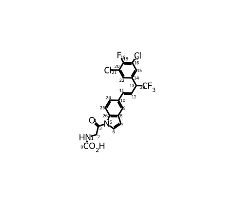 O=C(O)NCC(=O)n1ccc2cc(C=CC(c3cc(Cl)c(F)c(Cl)c3)C(F)(F)F)ccc21